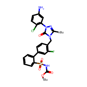 CCCCc1nn(-c2cc(N)ccc2Cl)c(=O)n1Cc1ccc(-c2ccccc2S(=O)(=O)NC(=O)OC(C)(C)C)cc1F